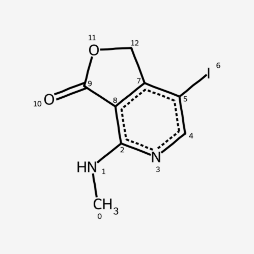 CNc1ncc(I)c2c1C(=O)OC2